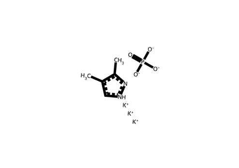 Cc1c[nH]nc1C.O=P([O-])([O-])[O-].[K+].[K+].[K+]